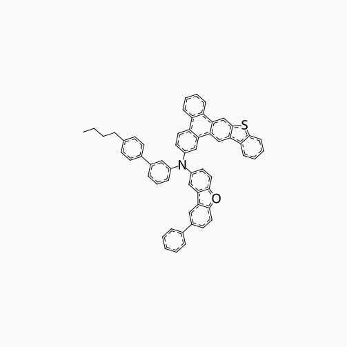 CCCCc1ccc(-c2cccc(N(c3ccc4oc5ccc(-c6ccccc6)cc5c4c3)c3ccc4c5ccccc5c5cc6sc7ccccc7c6cc5c4c3)c2)cc1